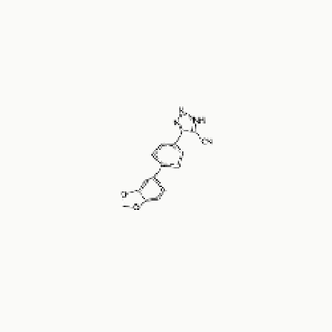 N#Cc1[nH]nnc1-c1ccc(C2=C=C=C3OCOC3=C2)cc1